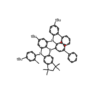 Cc1cc(C(C)(C)C)ccc1N1c2cc3c(cc2B2c4cc(-c5ccccc5)ccc4N(c4ccc(C(C)(C)C)cc4-c4ccccc4)c4cc(C(C)(C)C)cc1c42)C(C)(C)CC3(C)C